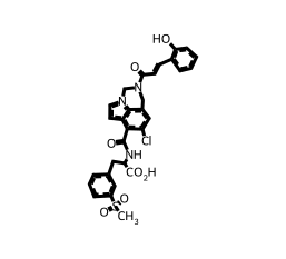 CS(=O)(=O)c1cccc(CC(NC(=O)c2c(Cl)cc3c4c2ccn4CN(C(=O)C=Cc2ccccc2O)C3)C(=O)O)c1